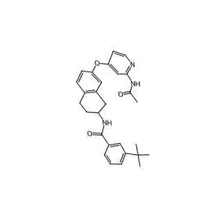 CC(=O)Nc1cc(Oc2ccc3c(c2)CC(NC(=O)c2cccc(C(C)(C)C)c2)CC3)ccn1